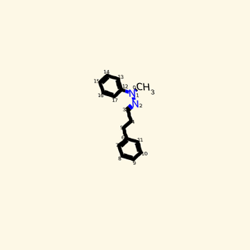 CN(N=CCCc1ccccc1)c1ccccc1